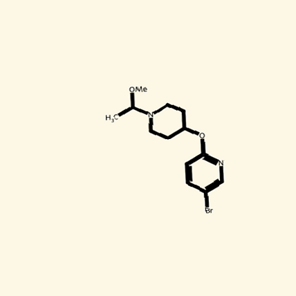 COC(C)N1CCC(Oc2ccc(Br)cn2)CC1